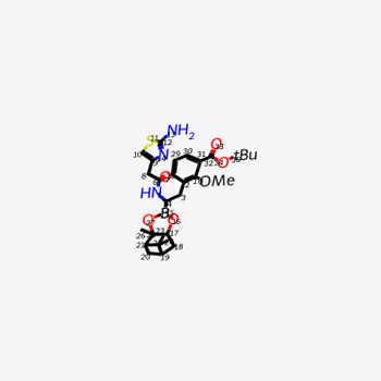 COc1c(CC(NC(=O)Cc2csc(N)n2)B2OC3CC4CC(C4(C)C)C3(C)O2)cccc1C(=O)OC(C)(C)C